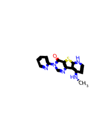 CNC1=C2c3ncn(-c4ccccn4)c(=O)c3SC2NC=C1